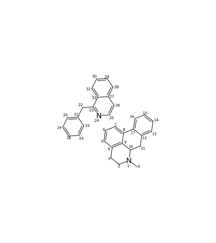 CN1CCc2cccc3c2C1Cc1ccccc1-3.c1ccc(Cc2nccc3ccccc23)cc1